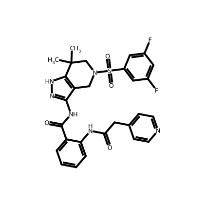 CC1(C)CN(S(=O)(=O)c2cc(F)cc(F)c2)Cc2c(NC(=O)c3ccccc3NC(=O)Cc3ccncc3)n[nH]c21